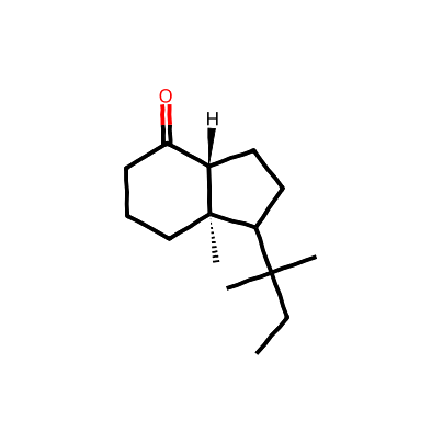 CCC(C)(C)C1CC[C@H]2C(=O)CCC[C@]12C